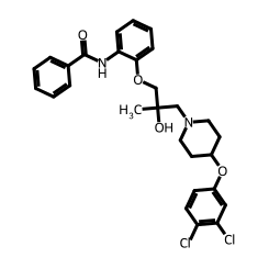 CC(O)(COc1ccccc1NC(=O)c1ccccc1)CN1CCC(Oc2ccc(Cl)c(Cl)c2)CC1